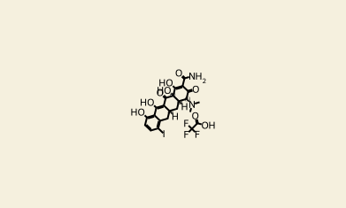 CN(C)[C@@H]1C(=O)C(C(N)=O)=C(O)[C@@]2(O)C(=O)C3=C(O)c4c(O)ccc(I)c4C[C@H]3C[C@@H]12.O=C(O)C(F)(F)F